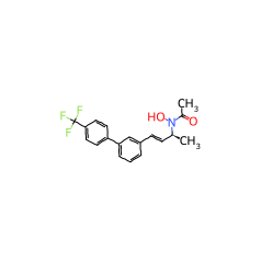 CC(=O)N(O)[C@@H](C)C=Cc1cccc(-c2ccc(C(F)(F)F)cc2)c1